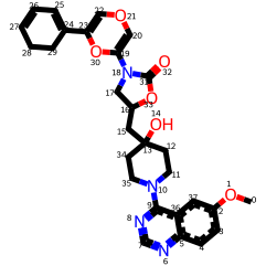 COc1ccc2ncnc(N3CCC(O)(CC4CN(C5=COC=C(C6=CC=CCC6)O5)C(=O)O4)CC3)c2c1